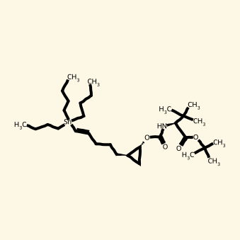 CCC[CH2][Sn](/[CH]=C/CCC[C@@H]1C[C@H]1OC(=O)N[C@H](C(=O)OC(C)(C)C)C(C)(C)C)([CH2]CCC)[CH2]CCC